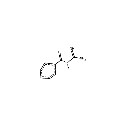 N=C(N)N(Cl)C(=O)c1ccccc1